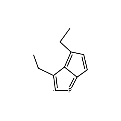 CCC1=[C]P=C2C=CC(CC)=C12